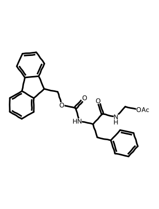 CC(=O)OCNC(=O)C(Cc1ccccc1)NC(=O)OCC1c2ccccc2-c2ccccc21